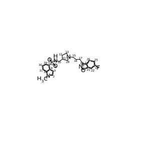 Cn1ccc2c(S(=O)(=O)NCC3CCN(CCCc4noc5cc(F)ccc45)C3)cccc21